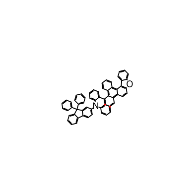 c1ccc(N(c2ccc3c(c2)C(c2ccccc2)(c2ccccc2)c2ccccc2-3)c2ccccc2-c2cccc3c4ccc5oc6ccccc6c5c4c4ccccc4c23)cc1